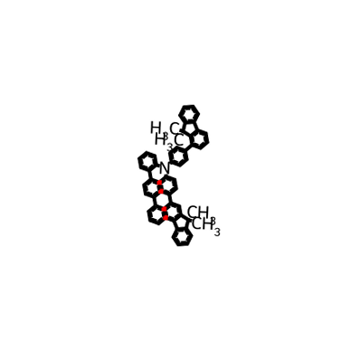 CC1(C)c2ccccc2-c2ccc(-c3ccc(N(c4ccc(-c5cccc6c5C(C)(C)c5ccccc5-6)cc4)c4ccccc4-c4ccc(-c5ccccc5)cc4)cc3)cc21